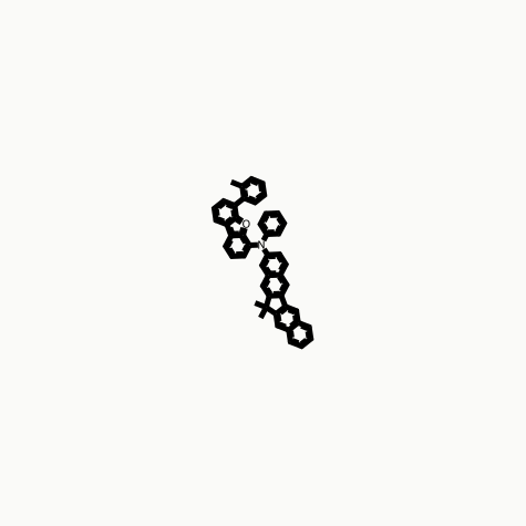 Cc1ccccc1-c1cccc2c1oc1c(N(c3ccccc3)c3ccc4cc5c(cc4c3)C(C)(C)c3cc4ccccc4cc3-5)cccc12